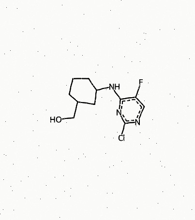 OCC1CCCC(Nc2nc(Cl)ncc2F)C1